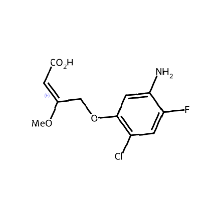 CO/C(=C/C(=O)O)COc1cc(N)c(F)cc1Cl